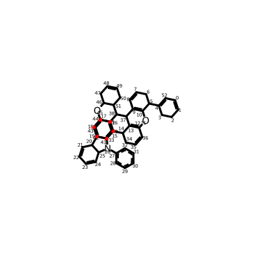 C1=CCCC(C2CC=CC3=C2OC2=C(C(C4=CC=CC5C6C=CC=CC6N(c6ccccc6)C45)CC=C2)C3C2C3C=CC=CC3OC3CC=CCC32)=C1